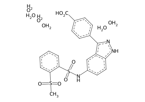 CS(=O)(=O)c1ccccc1S(=O)(=O)Nc1ccc2[nH]nc(-c3ccc(C(=O)O)cc3)c2c1.O.O.O.O.O.O